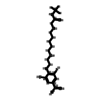 CC(C)(C)OC(=O)COCCCCCOCCOc1c(F)cc([N+](=O)[O-])cc1F